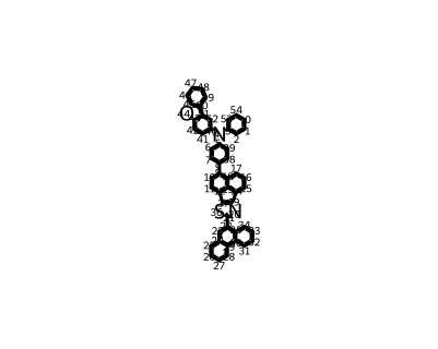 c1ccc(N(c2ccc(-c3ccc4c5c(cccc35)-c3nc(-c5cc6ccccc6c6ccccc56)sc3-4)cc2)c2ccc3oc4ccccc4c3c2)cc1